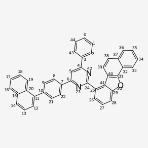 c1ccc(-c2cc(-c3ccc(-c4cccc5ccccc45)cc3)nc(-c3cccc4oc5c6ccccc6ccc5c34)n2)cc1